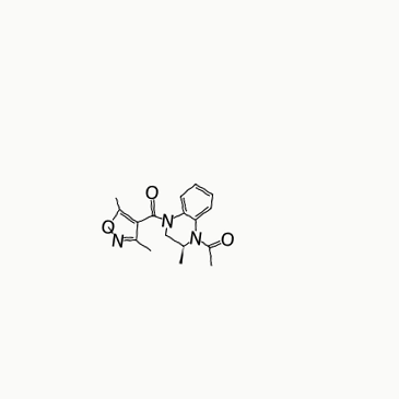 CC(=O)N1c2ccccc2N(C(=O)c2c(C)noc2C)C[C@@H]1C